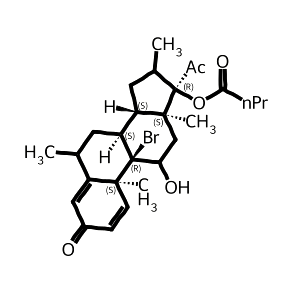 CCCC(=O)O[C@]1(C(C)=O)C(C)C[C@H]2[C@@H]3CC(C)C4=CC(=O)C=C[C@]4(C)[C@@]3(Br)C(O)C[C@@]21C